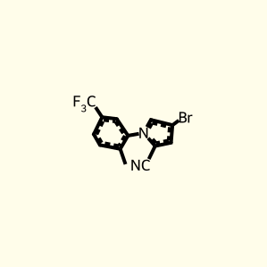 Cc1ccc(C(F)(F)F)cc1-n1cc(Br)cc1C#N